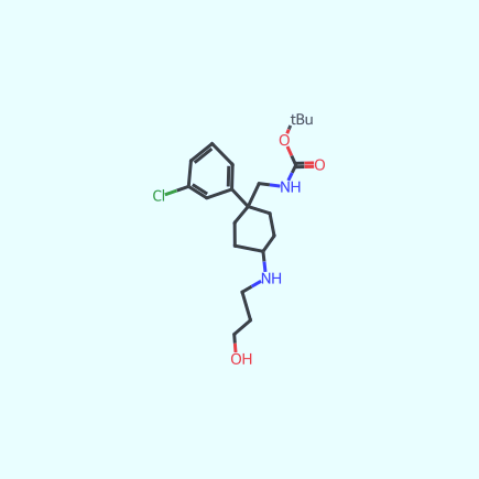 CC(C)(C)OC(=O)NCC1(c2cccc(Cl)c2)CCC(NCCCO)CC1